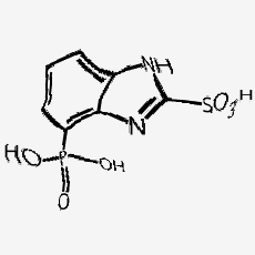 O=P(O)(O)c1cccc2[nH]c(S(=O)(=O)O)nc12